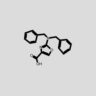 O=C(O)c1coc(N(Cc2ccccc2)Cc2ccccc2)n1